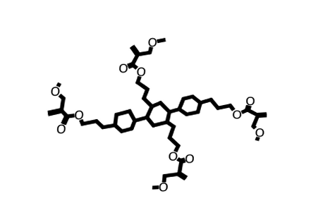 C=C(COC)C(=O)OCCCC1CCC(C2CC(CCCOC(=O)C(=C)COC)C(C3CCC(CCCOC(=O)C(=C)COC)CC3)CC2CCCOC(=O)C(=C)COC)CC1